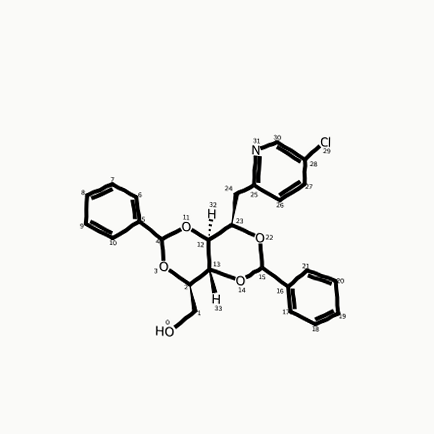 OC[C@H]1OC(c2ccccc2)O[C@@H]2[C@@H]1OC(c1ccccc1)O[C@@H]2Cc1ccc(Cl)cn1